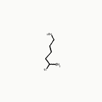 BC(CC)CCCCCCCC